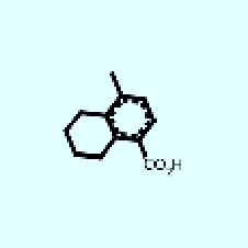 Cc1ccc(C(=O)O)c2c1CCCC2